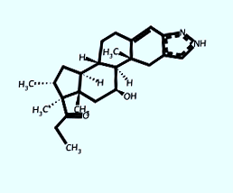 CCC(=O)[C@@]1(C)[C@H](C)C[C@H]2[C@@H]3CCC4=Cc5n[nH]cc5C[C@]4(C)[C@H]3[C@@H](O)C[C@@]21C